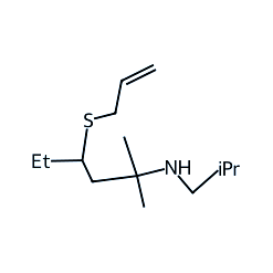 C=CCSC(CC)CC(C)(C)NCC(C)C